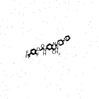 Cc1nc(N2CCC(N3CCCC3)CC2)nc2ccc(NC(=O)COc3ccc(C(F)(F)F)cc3F)cc12